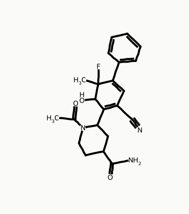 CC(=O)N1CCC(C(N)=O)CC1C1=C(C#N)C=C(c2ccccc2)C(C)(F)C1O